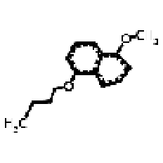 CCCCOc1cccc2c(OC)cccc12